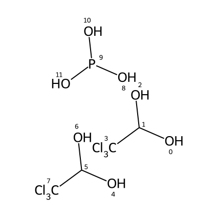 OC(O)C(Cl)(Cl)Cl.OC(O)C(Cl)(Cl)Cl.OP(O)O